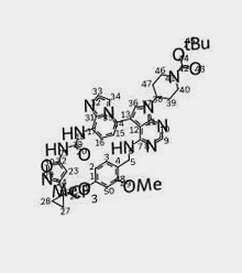 COc1ccc(CNc2ncnc3c2c(-c2ccc(NC(=O)Nc4cc(C5(C(F)(F)F)CC5)no4)c4nccn24)cn3C2CCN(C(=O)OC(C)(C)C)CC2)c(OC)c1